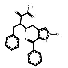 Cn1cc(CNC(Cc2ccccc2)C(=O)C(N)=O)c(C(=O)c2ccccc2)n1